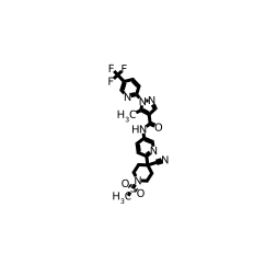 Cc1c(C(=O)Nc2ccc(C3(C#N)CCN(S(C)(=O)=O)CC3)nc2)cnn1-c1ccc(C(F)(F)F)cn1